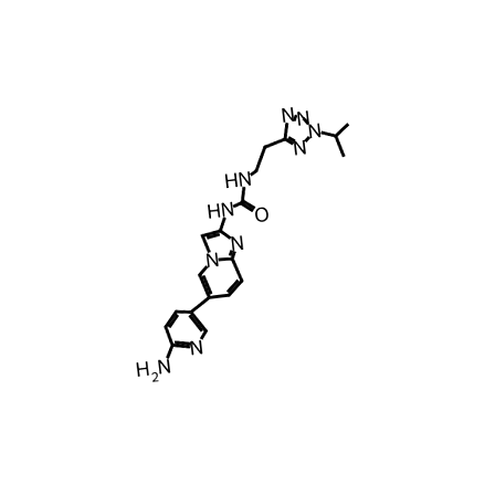 CC(C)n1nnc(CCNC(=O)Nc2cn3cc(-c4ccc(N)nc4)ccc3n2)n1